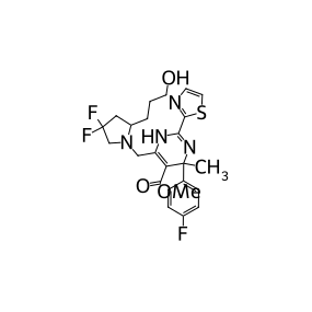 COC(=O)C1=C(CN2CC(F)(F)CC2CCCO)NC(c2nccs2)=NC1(C)c1ccc(F)cc1